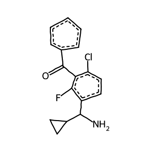 NC(c1ccc(Cl)c(C(=O)c2ccccc2)c1F)C1CC1